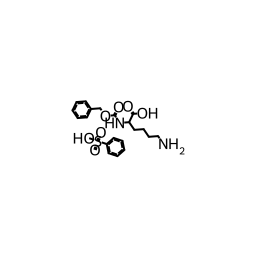 NCCCCC(NC(=O)OCc1ccccc1)C(=O)O.O=S(=O)(O)c1ccccc1